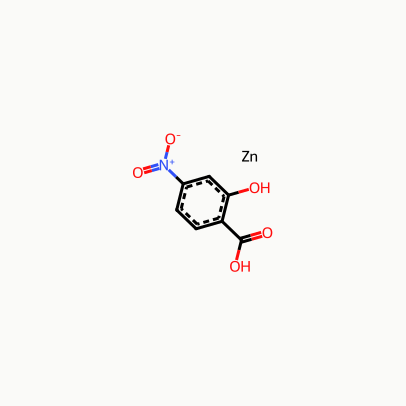 O=C(O)c1ccc([N+](=O)[O-])cc1O.[Zn]